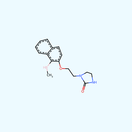 CBc1c(OCCN2CCNC2=O)ccc2ccccc12